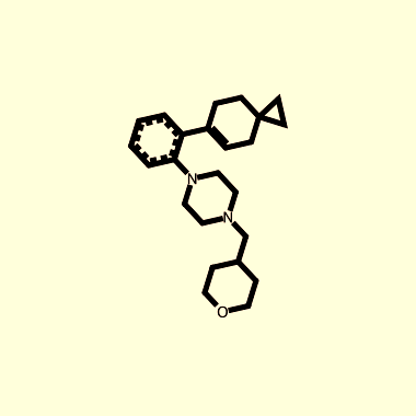 C1=C(c2ccccc2N2CCN(CC3CCOCC3)CC2)CCC2(C1)CC2